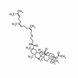 CC(=O)O[C@H]1CC[C@@]2(C)C(CC[C@]3(C)[C@@H]2C(=O)C=C2[C@@H]4CC(C)(C(=O)NCCSCC=C(C)CCC=C(C)CCC=C(C)C)CC[C@]4(C)CC[C@]23C)C1(C)C